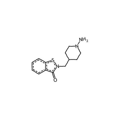 NN1CCC(Cn2sc3ccccc3c2=O)CC1